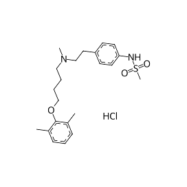 Cc1cccc(C)c1OCCCCN(C)CCc1ccc(NS(C)(=O)=O)cc1.Cl